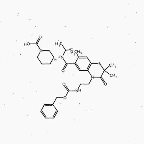 Cc1cc2c(cc1C(=O)N(C(C)C)[C@@H]1CCCN(C(=O)O)C1)N(CCNC(=O)OCc1ccccc1)C(=O)C(C)(C)S2